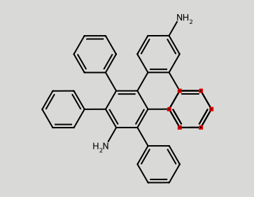 Nc1ccc(-c2c(-c3ccccc3)c(-c3ccccc3)c(N)c(-c3ccccc3)c2-c2ccccc2)c(-c2ccccc2)c1